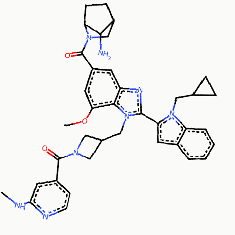 CNc1cc(C(=O)N2CC(Cn3c(-c4cc5ccccc5n4CC4CC4)nc4cc(C(=O)N5CC6CCC5C6N)cc(OC)c43)C2)ccn1